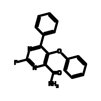 NC(=O)c1nc(F)nc(-c2ccccc2)c1Oc1ccccc1